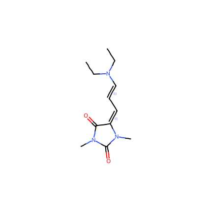 CCN(/C=C/C=C1\C(=O)N(C)C(=O)N1C)CC